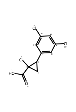 O=C(O)C1(Cl)CC1c1cc(Cl)cc(Cl)c1